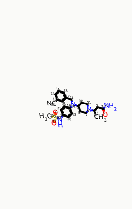 CC(CC(N)=O)N1CCC(N(Cc2cccc(C#N)c2)c2ccc(NS(C)(=O)=O)cc2)CC1